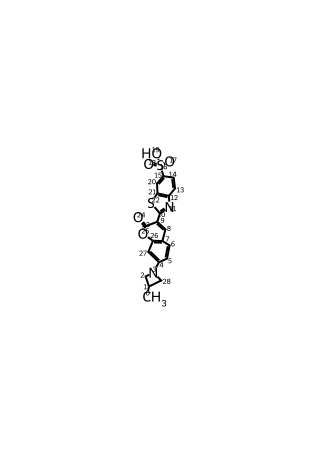 CC1CN(c2ccc3cc(-c4nc5ccc(S(=O)(=O)O)cc5s4)c(=O)oc3c2)C1